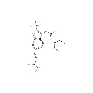 CCC(CC)CN(C)Cc1c(C(C)(C)C)nc2cc(/C=C/C(=O)NO)ccn12